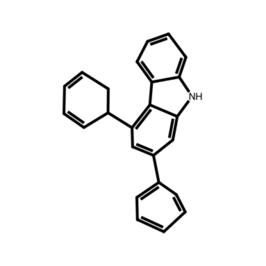 C1=CCC(c2cc(-c3ccccc3)cc3[nH]c4ccccc4c23)C=C1